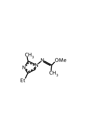 CCc1cn(/N=C(\C)OC)c(C)n1